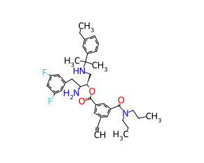 C#Cc1cc(C(=O)O[C@H](CNC(C)(C)c2cccc(CC)c2)[C@@H](N)Cc2cc(F)cc(F)c2)cc(C(=O)N(CCC)CCC)c1